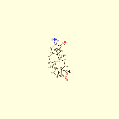 C[C@]12CC(O)C(N)CC1CC[C@@H]1[C@H]2CC[C@]2(C)C(=O)CC[C@@H]12